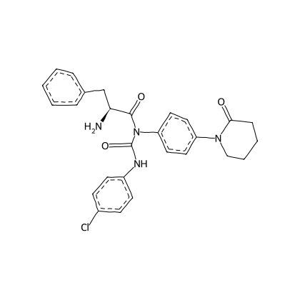 N[C@@H](Cc1ccccc1)C(=O)N(C(=O)Nc1ccc(Cl)cc1)c1ccc(N2CCCCC2=O)cc1